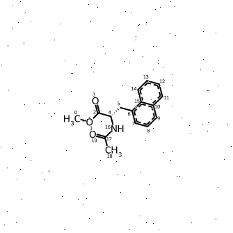 COC(=O)[C@H](Cc1cccc2ccccc12)NC(C)=O